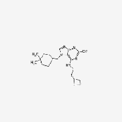 CC1(C)CCC(Cn2cnc3nc(C#N)nc(NCCC4CCC4)c32)CC1